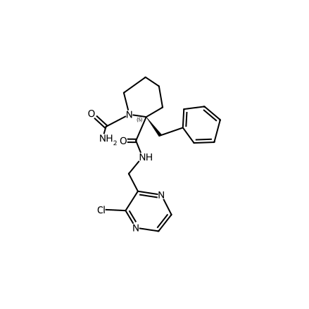 NC(=O)N1CCCC[C@]1(Cc1ccccc1)C(=O)NCc1nccnc1Cl